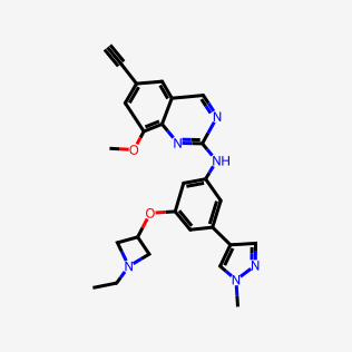 C#Cc1cc(OC)c2nc(Nc3cc(OC4CN(CC)C4)cc(-c4cnn(C)c4)c3)ncc2c1